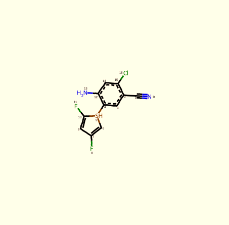 N#Cc1cc([SH]2C=C(F)C=C2F)c(N)cc1Cl